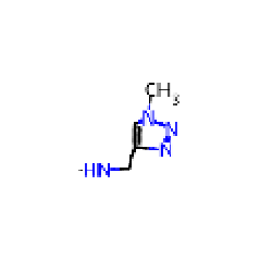 Cn1cc(C[NH])nn1